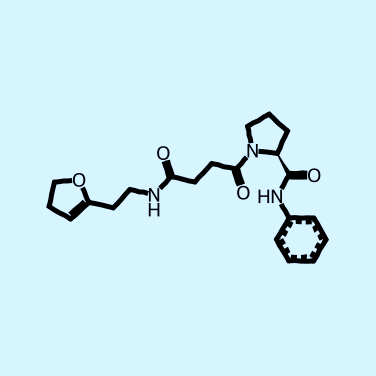 O=C(CCC(=O)N1CCC[C@H]1C(=O)Nc1ccccc1)NCCC1=CCCO1